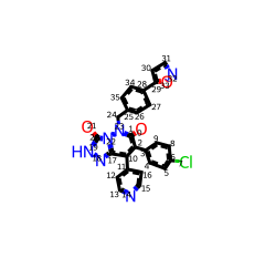 O=c1c(-c2ccc(Cl)cc2)c(-c2ccncc2)c2n[nH]c(=O)n2n1Cc1ccc(-c2ccno2)cc1